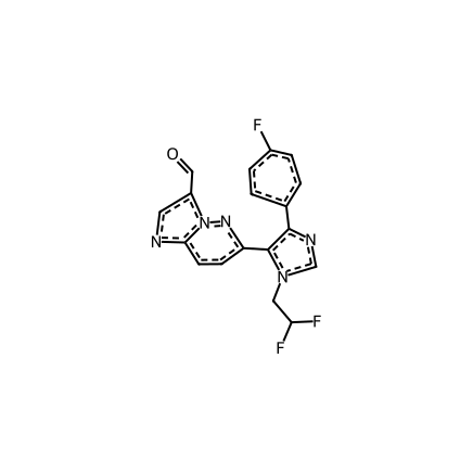 O=Cc1cnc2ccc(-c3c(-c4ccc(F)cc4)ncn3CC(F)F)nn12